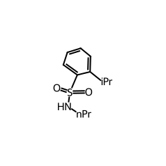 CCCNS(=O)(=O)c1ccccc1C(C)C